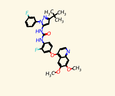 COc1cc2nccc(Oc3ccc(NC(=O)Nc4cc(C(C)(C)C)nn4-c4cccc(F)c4)c(F)c3)c2cc1OC